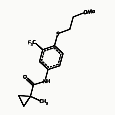 COCCSc1ccc(NC(=O)C2(C)CC2)cc1C(F)(F)F